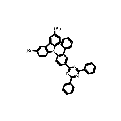 CC(C)(C)c1ccc2c(c1)c1cc(C(C)(C)C)ccc1n2-c1ccc(-c2nc(-c3ccccc3)nc(-c3ccccc3)n2)cc1-c1ccccc1